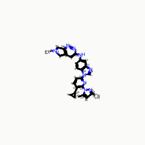 CCN1Cc2cc(Nc3ccc4c(c3)ncn4-c3ccc(C4CC4)c(-n4nc(C#N)cc4C)n3)nnc2C1